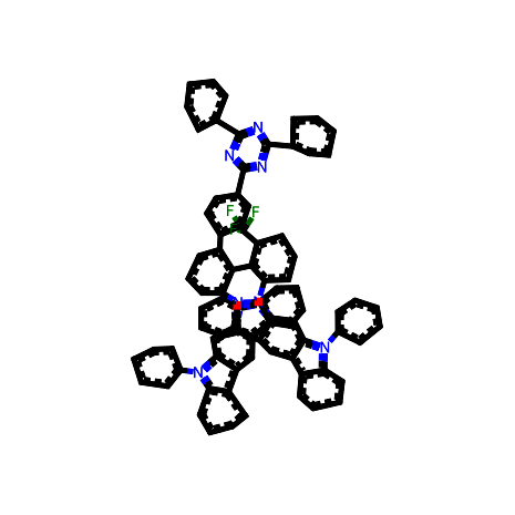 FC(F)(F)c1cccc(-n2c3ccccc3c3cc4c5ccccc5n(-c5ccccc5)c4cc32)c1-c1c(-c2ccc(-c3nc(-c4ccccc4)nc(-c4ccccc4)n3)cc2)cccc1-n1c2ccccc2c2cc3c4ccccc4n(-c4ccccc4)c3cc21